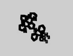 CC1(C)c2ccccc2N(c2cc(-c3ncccn3)c(-c3ncccn3)c(-c3ncccn3)c2)c2ccccc21